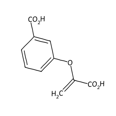 C=C(Oc1cccc(C(=O)O)c1)C(=O)O